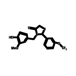 COc1cc(CN2C(=O)CSC2c2cccc(OC(F)(F)F)c2)ccc1O